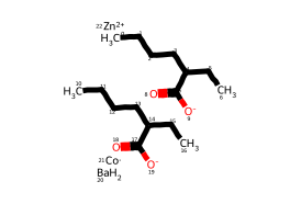 CCCCC(CC)C(=O)[O-].CCCCC(CC)C(=O)[O-].[BaH2].[Co].[Zn+2]